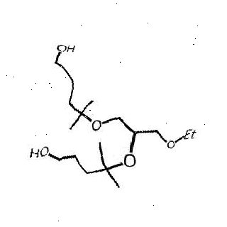 CCOCC(COC(C)(C)CCCO)OC(C)(C)CCCO